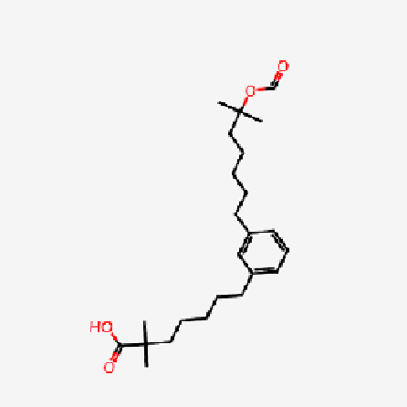 CC(C)(CCCCCc1cccc(CCCCCC(C)(C)C(=O)O)c1)OC=O